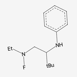 CCN(F)CC(Nc1ccccc1)C(C)(C)C